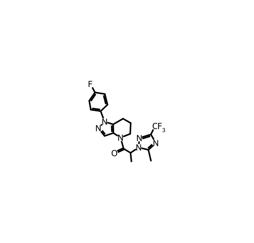 Cc1nc(C(F)(F)F)nn1C(C)C(=O)N1CCCc2c1cnn2-c1ccc(F)cc1